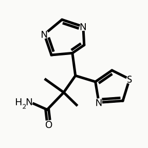 CC(C)(C(N)=O)C(c1cncnc1)c1cscn1